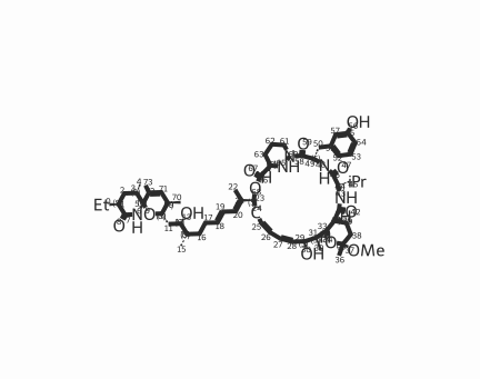 CC[C@H]1C[C@H](C)[C@@]2(NC1=O)O[C@@H](C[C@H](O)[C@@H](C)CCC=CC=C(C)[C@@H]1CC=CC=C[C@H](O)[C@H](C)[C@H]3O[C@](C)(OC)CC[C@H]3C(=O)N[C@@H](C(C)C)C(=O)N[C@@H](Cc3cccc(O)c3)C(=O)N3CCC[C@H](N3)C(=O)O1)[C@H](C)C=C2C